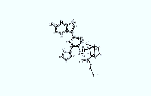 CCOC(=O)[C@@H]1C2CCC(CC2)[C@H]1Nc1nc(-c2c[nH]c3nc(Cl)cnc23)nc(-c2cccs2)c1F